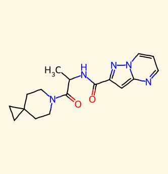 CC(NC(=O)c1cc2ncccn2n1)C(=O)N1CCC2(CC1)CC2